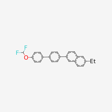 CCc1ccc2cc(-c3ccc(-c4ccc(OC(F)F)cc4)cc3)ccc2c1